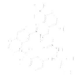 CC[C@@H](O)CNC(=O)C[C@H](NC(=O)c1ccc2c(c1)N(S(=O)(=O)c1cccc(C)c1)CCO2)c1cc(C(F)(F)F)ccc1Cl